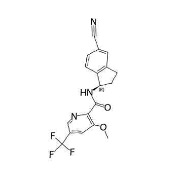 COc1cc(C(F)(F)F)cnc1C(=O)N[C@@H]1CCc2cc(C#N)ccc21